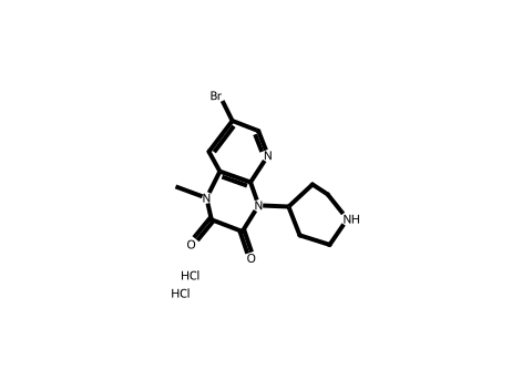 Cl.Cl.Cn1c(=O)c(=O)n(C2CCNCC2)c2ncc(Br)cc21